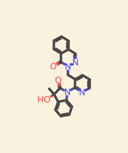 CC1(O)C(=O)N(c2ncccc2Cn2ncc3ccccc3c2=O)c2ccccc21